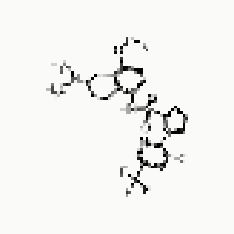 COc1ccc(NS(=O)(=O)c2cccn2-c2ncc(C(F)(F)F)cc2Cl)c2c1C[C@@H](N(C)C)CC2